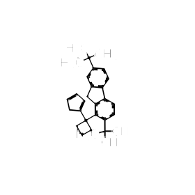 CC(C)(C)c1ccc2c(c1)Cc1c-2ccc(C(C)(C)C)c1C1(C2=CC=CC2)CCC1